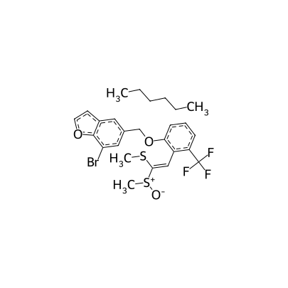 CCCCCC.CSC(=Cc1c(OCc2cc(Br)c3occc3c2)cccc1C(F)(F)F)[S+](C)[O-]